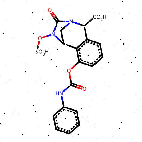 O=C(Nc1ccccc1)Oc1cccc2c1C1CN(C(=O)N1OS(=O)(=O)O)C2C(=O)O